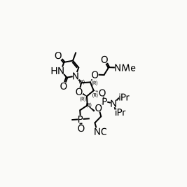 [C-]#[N+]CCOP(O[C@H]1[C@@H](OCC(=O)NC)[C@H](n2cc(C)c(=O)[nH]c2=O)O[C@@H]1[C@@H](C)CP(C)(C)=O)N(C(C)C)C(C)C